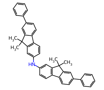 CC1(C)c2cc(Nc3ccc4c(c3)C(C)(C)c3cc(-c5ccccc5)ccc3-4)ccc2-c2ccc(-c3ccccc3)cc21